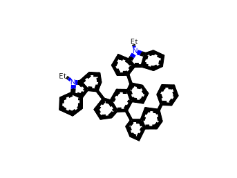 CCn1c2ccccc2c2c(-c3cccc4c(-c5cccc6ccc(-c7ccccc7)cc56)c5cccc(-c6cccc7c6c6ccccc6n7CC)c5cc34)cccc21